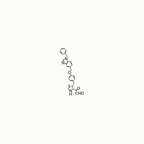 O=CC(=O)C1NCSC1Cc1ccc(OCc2ccc3c(c2)ncn3Cc2ccccc2)cc1